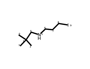 CC(C)(C)CNCCCI